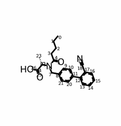 CCCCC(=O)N(Cc1ccc(-c2ccccc2C#N)cc1)[C@@H](C)C(=O)O